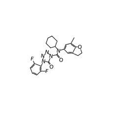 Cc1cc(N(C(=O)n2nnn(-c3c(F)cccc3F)c2=O)C2CCCCC2)cc2c1OCC2